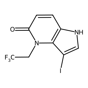 O=c1ccc2[nH]cc(I)c2n1CC(F)(F)F